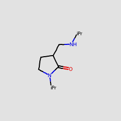 CC(C)NCC1CCN(C(C)C)C1=O